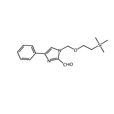 C[Si](C)(C)CCOCn1cc(-c2ccccc2)nc1C=O